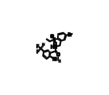 CCS(=O)(=O)c1ccc(Br)cc1CNC(=O)c1cc(C(F)(F)F)ccc1N